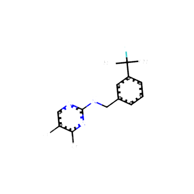 CCc1cnc(NCc2cccc(C(C)(C)F)c2)nc1CC